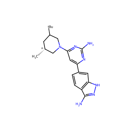 C[C@@H]1C[C](C(C)(C)C)CN(c2cc(-c3ccc4c(N)n[nH]c4c3)nc(N)n2)C1